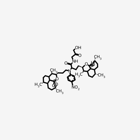 C[C@@H]1CCC2[C@@H](C)[C@@H](CCCN(c3ccc([N+](=O)[O-])cc3)C(CC[C@H]3O[C@@H]4O[C@]5(C)CCC6[C@H](C)CCC([C@H]3C)[C@]64OO5)C(=O)NCC(=O)CO)O[C@@H]3O[C@]4(C)CCC1[C@@]23OO4